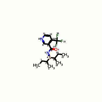 CCC(C)S(=NC(=O)c1cnccc1C(F)(F)F)C(C)CC